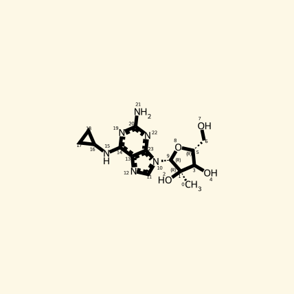 C[C@@]1(O)C(O)[C@@H](CO)O[C@H]1n1cnc2c(NC3CC3)nc(N)nc21